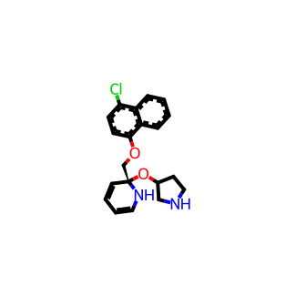 Clc1ccc(OC[C@]2(OC3CCNC3)C=CC=CN2)c2ccccc12